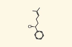 CC(C)=CCC[C@H](Cl)c1ccccc1